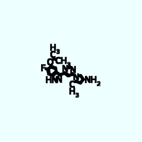 CC(C)Oc1cc2c(-c3cc(N4C[C@H](N)C[C@@H]4C)ncn3)n[nH]c2cc1F